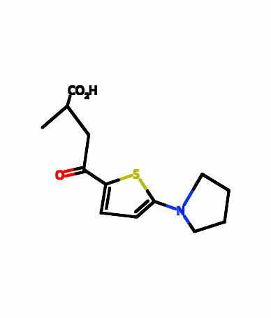 CC(CC(=O)c1ccc(N2CCCC2)s1)C(=O)O